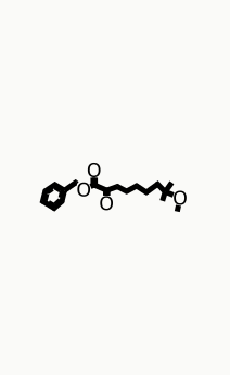 COC(C)(C)CCCCCC(=O)C(=O)OCc1ccccc1